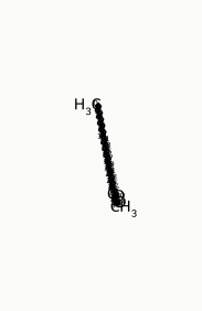 CCCCCCCCCCCCCCCCCCCCCCCCCCCCOC(=O)CC(C)=O